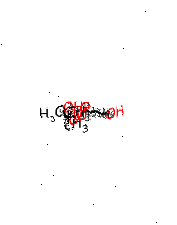 CC(O)CC(C)(C)OOOC(=O)CCCCO